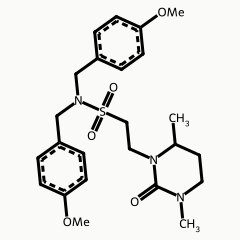 COc1ccc(CN(Cc2ccc(OC)cc2)S(=O)(=O)CCN2C(=O)N(C)CCC2C)cc1